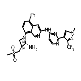 CC(C)c1ccc(N2C[C@H](CS(C)(=O)=O)[C@H]2N)c2cnc(Nc3ccnc(-c4cn(C)nc4C(F)(F)F)n3)cc12